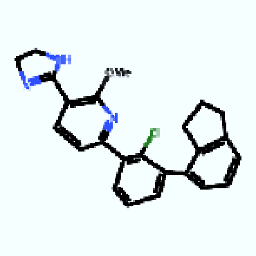 COc1nc(-c2cccc(-c3cccc4c3CCC4)c2Cl)ccc1C1=NCCN1